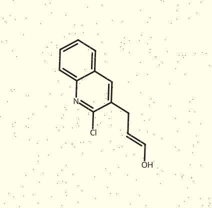 OC=CCc1cc2ccccc2nc1Cl